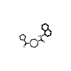 O=C(Nc1cccc2ccccc12)N1CCCN(C(=O)C2CCCC2)CC1